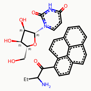 CCC(N)C(=O)c1ccc2ccc3cccc4ccc1c2c34.O=c1ccn([C@@H]2O[C@H](CO)[C@@H](O)[C@H]2O)c(=O)[nH]1